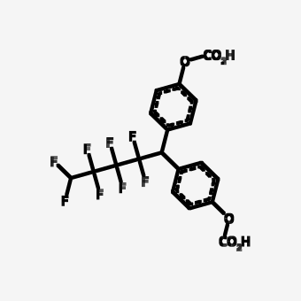 O=C(O)Oc1ccc(C(c2ccc(OC(=O)O)cc2)C(F)(F)C(F)(F)C(F)(F)C(F)F)cc1